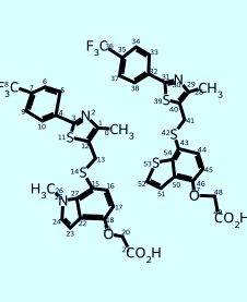 Cc1nc(-c2ccc(C(F)(F)F)cc2)sc1CSc1ccc(OCC(=O)O)c2ccn(C)c12.Cc1nc(-c2ccc(C(F)(F)F)cc2)sc1CSc1ccc(OCC(=O)O)c2ccsc12